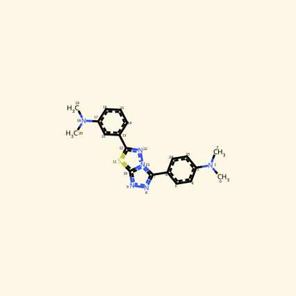 CN(C)c1ccc(-c2nnc3sc(-c4cccc(N(C)C)c4)nn23)cc1